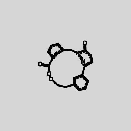 O=C1OOCCc2cccc(c2)-c2ccc(=O)n(n2)Cc2cccc1c2